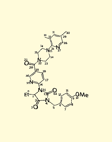 CCC1C(=O)N(Cc2ccc(OC)cc2)C(=O)N1c1ccc(C(=O)N2CCN(c3ncc(C)cc3C)CC2)cn1